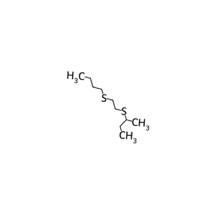 CCCCSCCSC(C)CC